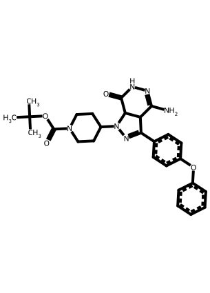 CC(C)(C)OC(=O)N1CCC(N2N=C(c3ccc(Oc4ccccc4)cc3)C3C(N)=NNC(=O)C32)CC1